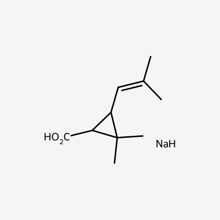 CC(C)=CC1C(C(=O)O)C1(C)C.[NaH]